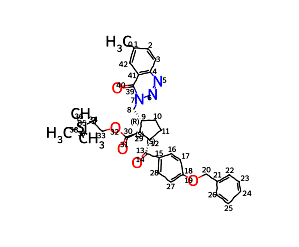 Cc1ccc2nnn(C[C@@H]3CC[C@H](C(=O)c4ccc(OCc5ccccc5)cc4)[C@H]3C(=O)OCC[Si](C)(C)C)c(=O)c2c1